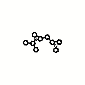 C1=CCCC(N2c3ccccc3C3C=C(c4cccc(-c5ccc6c(c5)c5c(n6-c6cc(C7=CCCC=C7)cc(C7C=CC=CC7)c6)CCCC5)c4)C=CC32)=C1